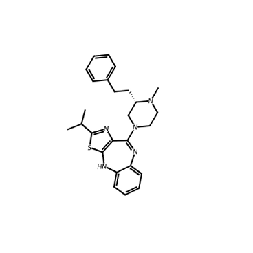 CC(C)c1nc2c(s1)Nc1ccccc1N=C2N1CCN(C)[C@@H](CCc2ccccc2)C1